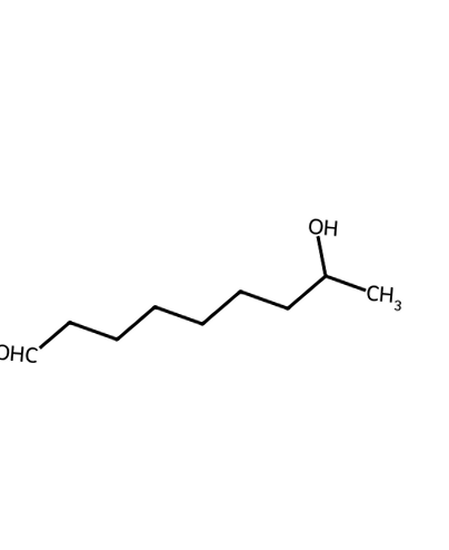 CC(O)CCCCCCC=O